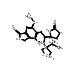 CC[Si](CC)(CC)OC(Cc1c(OC)cc2c(c1O)COC2=O)[C@]1(C)CCC(=O)O1